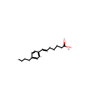 CCCCc1ccc(C=CCCCCC(=O)O)cc1